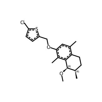 CO[C@H]1c2c(C)c(OCc3ccc(Cl)s3)cc(C)c2CC[C@H]1C